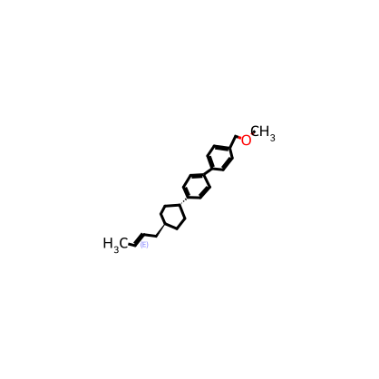 C/C=C/C[C@H]1CC[C@H](c2ccc(-c3ccc(COC)cc3)cc2)CC1